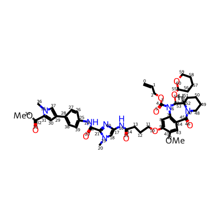 C=CCOC(=O)N1c2cc(OCCCC(=O)Nc3cn(C)c(C(=O)Nc4ccc(-c5cc(C(=O)OC)n(C)c5)cc4)n3)c(OC)cc2C(=O)N2CCCC[C@H]2[C@@H]1OC1CCCCO1